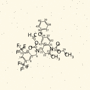 CCOC(=O)N(Cc1cc(C(F)(F)F)cc(C(F)(F)F)c1)[C@H]1C[C@@H](C)N(C(=O)OCC)c2ccc(Oc3ccccc3)cc21